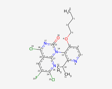 CCCCOc1ccnc(C(C)C)c1-n1c(=O)nc(Cl)c2cc(F)c(Cl)nc21